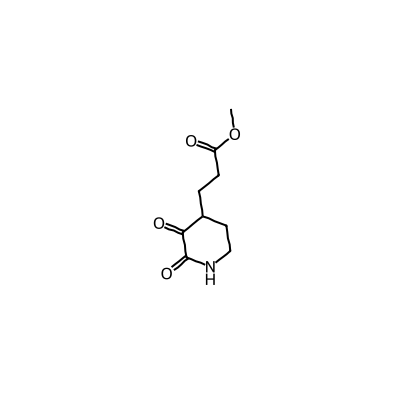 COC(=O)CCC1CCNC(=O)C1=O